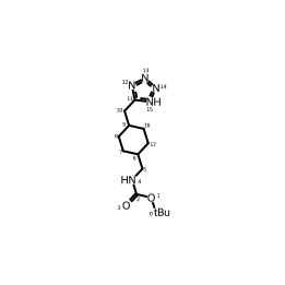 CC(C)(C)OC(=O)NCC1CCC(Cc2nnn[nH]2)CC1